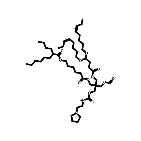 CC/C=C\CCCCOC(CCC(=O)OCC(COC=O)(COC(=O)CCCCCOC(=O)C(CCCC)CCCCCC)COC(=O)NCCN1CCCC1)OCCCC/C=C\CC